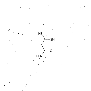 NC(=O)CC(S)S